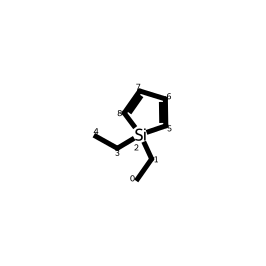 CC[Si]1(CC)C=CC=C1